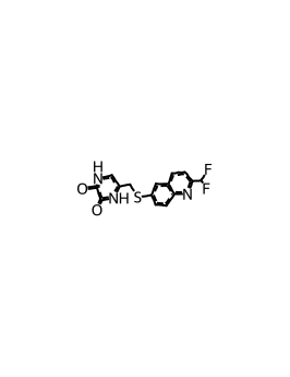 O=c1[nH]cc(CSc2ccc3nc(C(F)F)ccc3c2)[nH]c1=O